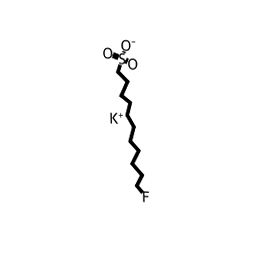 O=S(=O)([O-])CCCCCCCCCCCF.[K+]